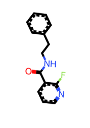 O=C(NCCc1ccccc1)c1cccnc1F